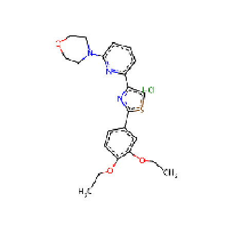 CCOc1ccc(-c2nc(-c3cccc(N4CCOCC4)n3)cs2)cc1OCC.Cl